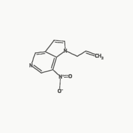 C=CCn1ccc2cncc([N+](=O)[O-])c21